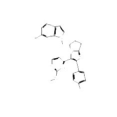 CNc1nccc(-c2c(-c3ccc(F)cc3)nc3n2[C@H](Cn2ccc4ccc(Cl)cc42)CC3)n1